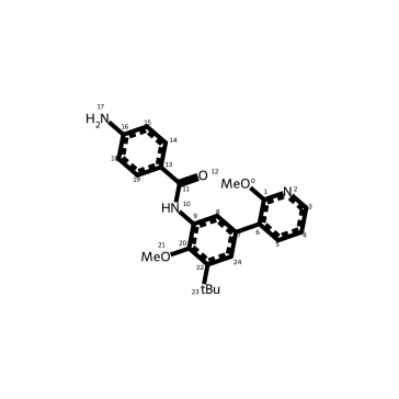 COc1ncccc1-c1cc(NC(=O)c2ccc(N)cc2)c(OC)c(C(C)(C)C)c1